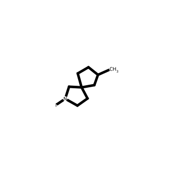 CC1CCC2(CCN(I)C2)C1